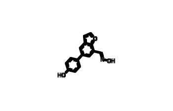 ON=Cc1cc(-c2ccc(O)cc2)cc2ccoc12